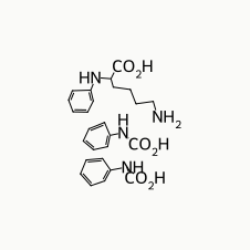 NCCCCC(Nc1ccccc1)C(=O)O.O=C(O)Nc1ccccc1.O=C(O)Nc1ccccc1